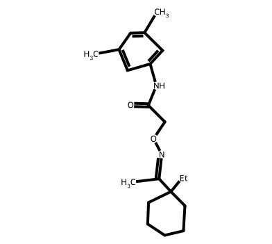 CCC1(/C(C)=N/OCC(=O)Nc2cc(C)cc(C)c2)CCCCC1